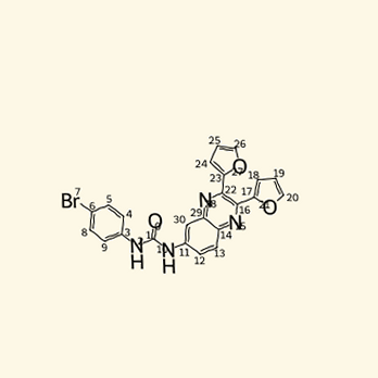 O=C(Nc1ccc(Br)cc1)Nc1ccc2nc(-c3ccco3)c(-c3ccco3)nc2c1